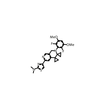 COc1cc(OC)c(F)c(N2Cc3cnc(-c4csc(N(C)C)n4)cc3C3(CC3)C23CC3)c1F